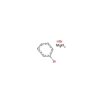 Br.Brc1ccccc1.[MgH2]